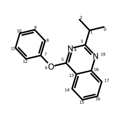 CC(C)c1nc(Oc2ccccc2)c2ccccc2n1